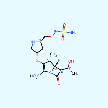 C[C@@H](O)[C@H]1C(=O)N2C(C(=O)O)=C(SC3CN[C@@H](CONS(N)(=O)=O)C3)[C@H](C)[C@H]12